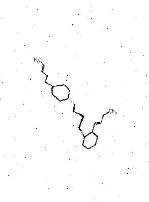 CC=CCC[C@H]1CC[C@H](CCCCC2CCCCC2C=CCC)CC1